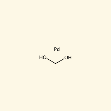 OCO.[Pd]